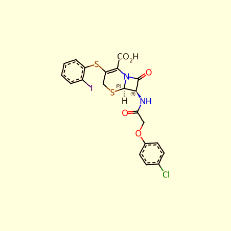 O=C(COc1ccc(Cl)cc1)N[C@@H]1C(=O)N2C(C(=O)O)=C(Sc3ccccc3I)CS[C@H]12